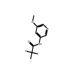 COc1cncc(NC(=O)C(C)(F)F)c1